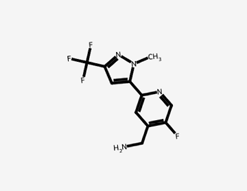 Cn1nc(C(F)(F)F)cc1-c1cc(CN)c(F)cn1